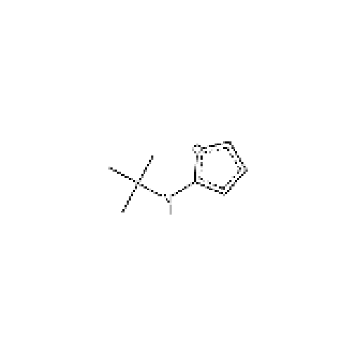 CC(C)(C)Nc1ccco1